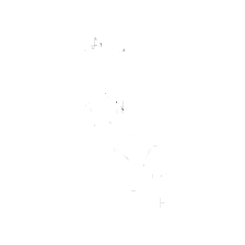 FC(F)Oc1ccc(-c2csc(C3CCNCC3)n2)cc1